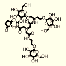 O=C(CN(CC(=O)NON1C(=O)CCC1=O)CC(=O)N[C@H](CCO[C@H]1O[C@H](CO)[C@@H](O)[C@H](O)[C@@H]1O)CO[C@H]1O[C@H](CO)[C@@H](O)[C@H](O)[C@@H]1O)NCCO[C@@H]1O[C@H](CO)[C@@H](O)[C@H](O)[C@@H]1O